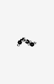 COc1ccc(Cc2csc(N3CCC(S(=O)(=O)c4cccc(Br)c4)CC3)n2)cc1